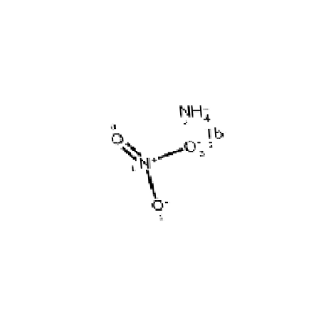 O=[N+]([O-])[O-].[NH4+].[Tb]